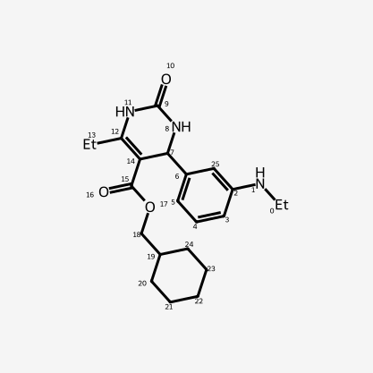 CCNc1cccc(C2NC(=O)NC(CC)=C2C(=O)OCC2CCCCC2)c1